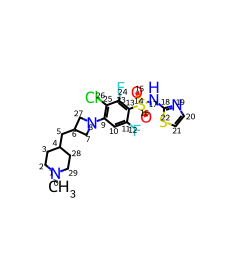 CN1CCC(CC2CN(c3cc(F)c(S(=O)(=O)Nc4nccs4)c(F)c3Cl)C2)CC1